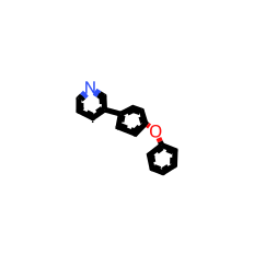 [c]1ccncc1-c1ccc(Oc2ccccc2)cc1